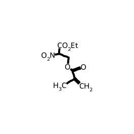 C=C(C)C(=O)OCC(C(=O)OCC)[N+](=O)[O-]